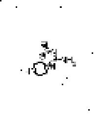 C1CNCCN1.NC(=O)N=S(=O)=O